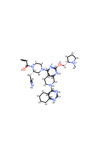 C=CC(=O)N1CCN(c2nc(OC[C@@H]3CCCN3C)nc3c2CCN(c2ncnc4c2CCCC4)C3)C[C@@H]1CC#N